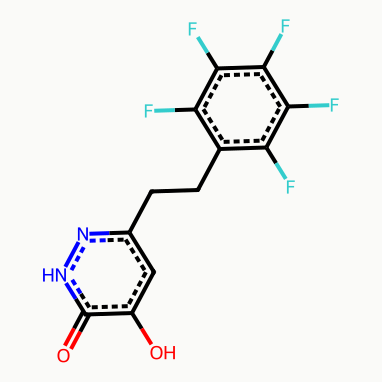 O=c1[nH]nc(CCc2c(F)c(F)c(F)c(F)c2F)cc1O